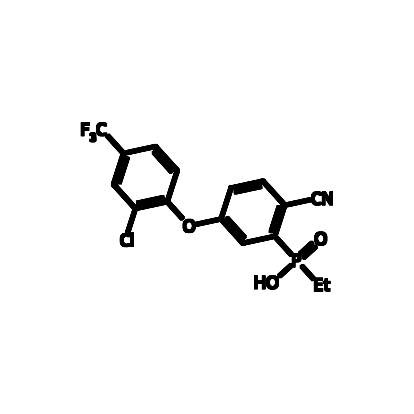 CCP(=O)(O)c1cc(Oc2ccc(C(F)(F)F)cc2Cl)ccc1C#N